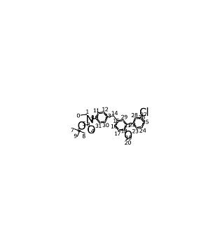 CCN(C(=O)OC(C)(C)C)c1ccc(Cc2ccc(OC)c(-c3cccc(Cl)c3)c2)cc1